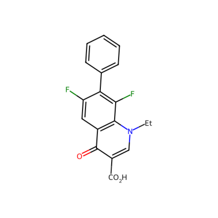 CCn1cc(C(=O)O)c(=O)c2cc(F)c(-c3ccccc3)c(F)c21